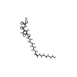 CCCCCCCC/C=C\CCCCCCCCOc1cc(C(=O)CC(=O)OC)co1